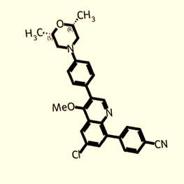 COc1c(-c2ccc(N3C[C@@H](C)O[C@@H](C)C3)cc2)cnc2c(-c3ccc(C#N)cc3)cc(Cl)cc12